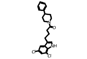 O=C(CCCc1c[nH]c2c(Cl)cc(Cl)cc12)N1CCC(c2ccccc2)CC1